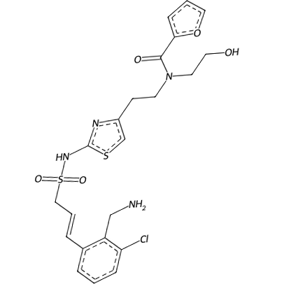 NCc1c(Cl)cccc1C=CCS(=O)(=O)Nc1nc(CCN(CCO)C(=O)c2ccco2)cs1